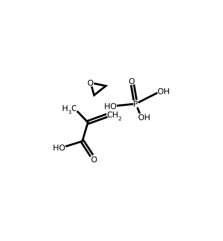 C1CO1.C=C(C)C(=O)O.O=P(O)(O)O